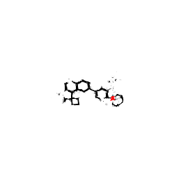 CN1C(=O)C2(CCC2)c2c1cnc1ccc(-c3cnc(N4CC5CC(C4)N5C(=O)O)c(NS(C)(=O)=O)c3)cc21